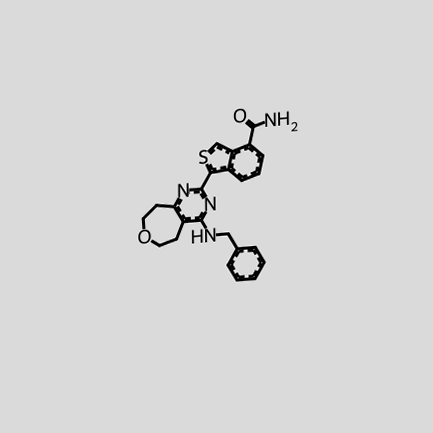 NC(=O)c1cccc2c(-c3nc4c(c(NCc5ccccc5)n3)CCOCC4)scc12